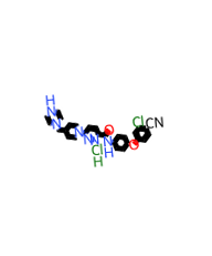 Cl.N#Cc1ccc(OC2CCC(NC(=O)c3ccc(N4CCC(CN5CCNCC5)CC4)nn3)CC2)cc1Cl